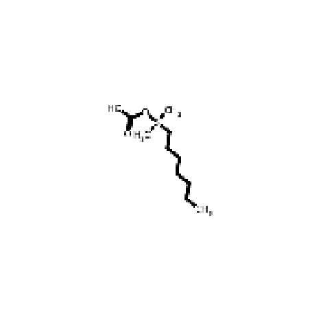 CCCCCCC[Si](C)(C)OC(=O)O